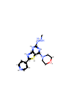 CNNc1nc(N2CCOCC2)c2sc(-c3ccncc3)nc2n1